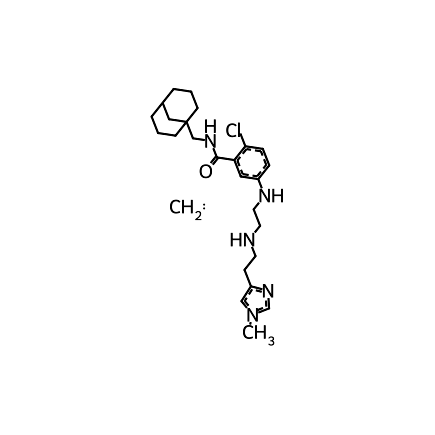 Cn1cnc(CCNCCNc2ccc(Cl)c(C(=O)NCC34CCCC(CCC3)C4)c2)c1.[CH2]